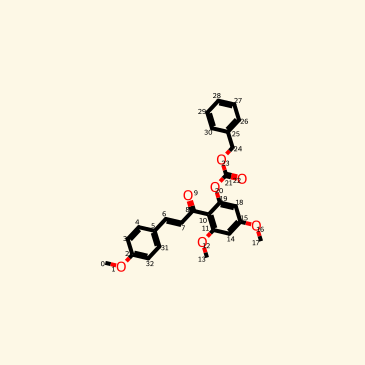 COc1ccc(/C=C/C(=O)c2c(OC)cc(OC)cc2OC(=O)OCc2ccccc2)cc1